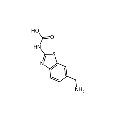 NCc1ccc2nc(NC(=O)O)sc2c1